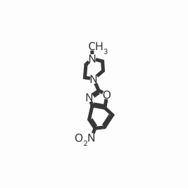 CN1CCN(c2nc3cc([N+](=O)[O-])ccc3o2)CC1